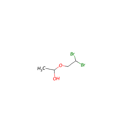 CC(O)OCC(Br)Br